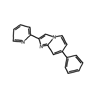 c1ccc(-c2ccn3cc(-c4ccccn4)nc3c2)cc1